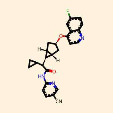 N#Cc1ccc(NC(=O)C(C2CC2)[C@H]2[C@@H]3C[C@@H](Oc4ccnc5ccc(F)cc45)C[C@@H]32)nc1